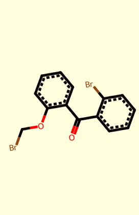 O=C(c1ccccc1Br)c1ccccc1OCBr